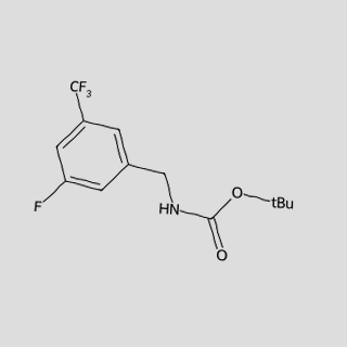 CC(C)(C)OC(=O)NCc1cc(F)cc(C(F)(F)F)c1